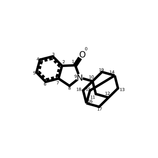 O=C1c2ccccc2CN1C12CC3CC(CC(C3)C1)C2